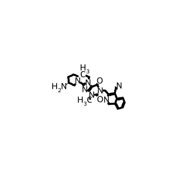 CCn1c(N2CCC[C@@H](N)C2)nc2c1c(=O)n(Cc1ncc3ccccc3c1C#N)c(=O)n2C